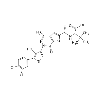 CC=NN(C(=O)c1ccc(C(=O)NC(C(=O)O)C(C)(C)C)s1)c1csc(-c2ccc(Cl)c(Cl)c2)c1O